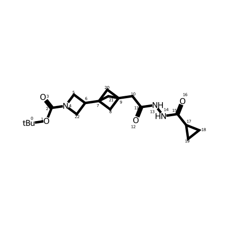 CC(C)(C)OC(=O)N1CC(C23CC(CC(=O)NNC(=O)C4CC4)(C2)C3)C1